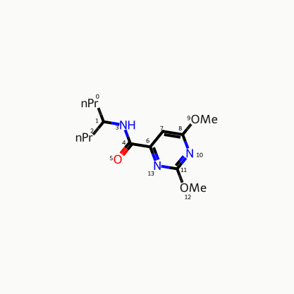 CCCC(CCC)NC(=O)c1cc(OC)nc(OC)n1